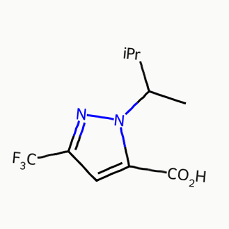 CC(C)C(C)n1nc(C(F)(F)F)cc1C(=O)O